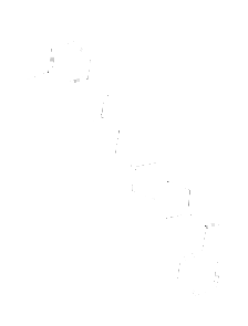 Cc1ccc(NC(=O)CCN2CC3CN(C(=O)c4ccccn4)CC3C2)cc1Cl